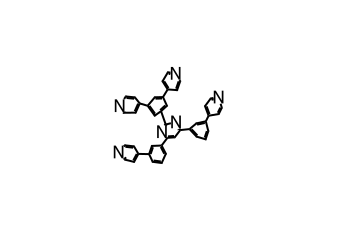 c1cc(-c2ccncc2)cc(-c2cc(-c3cccc(-c4ccncc4)c3)nc(-c3cc(-c4ccncc4)cc(-c4ccncc4)c3)n2)c1